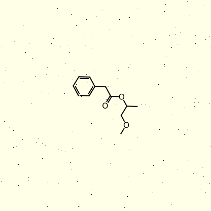 COCC(C)OC(=O)[CH]c1ccccc1